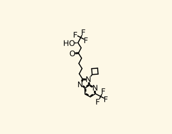 O=C(CCCCc1nc2ccc(C(F)(F)F)nc2n1C1CCC1)C[C@@H](O)C(F)(F)F